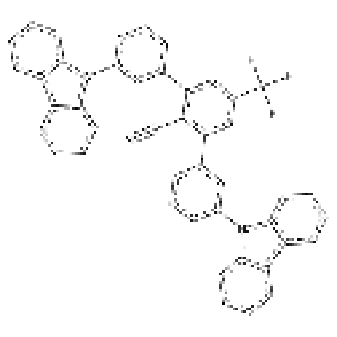 N#Cc1c(-c2cccc(-n3c4ccccc4c4ccccc43)c2)cc(C(F)(F)F)cc1-c1cccc(-n2c3ccccc3c3ccccc32)c1